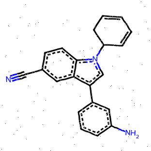 N#Cc1ccc2c(c1)c(-c1cccc(N)c1)cn2C1C=CC=CC1